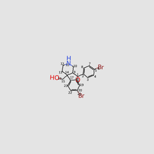 O=C(c1ccc(Br)cc1)C1CNCCC1(CO)c1ccc(Br)cc1